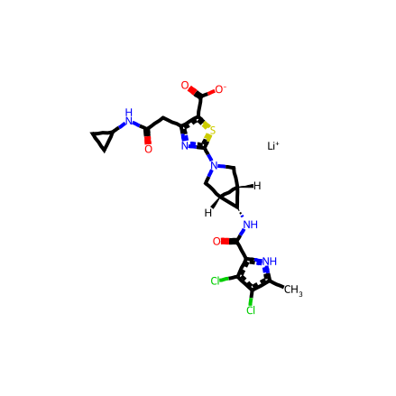 Cc1[nH]c(C(=O)N[C@@H]2[C@@H]3CN(c4nc(CC(=O)NC5CC5)c(C(=O)[O-])s4)C[C@@H]32)c(Cl)c1Cl.[Li+]